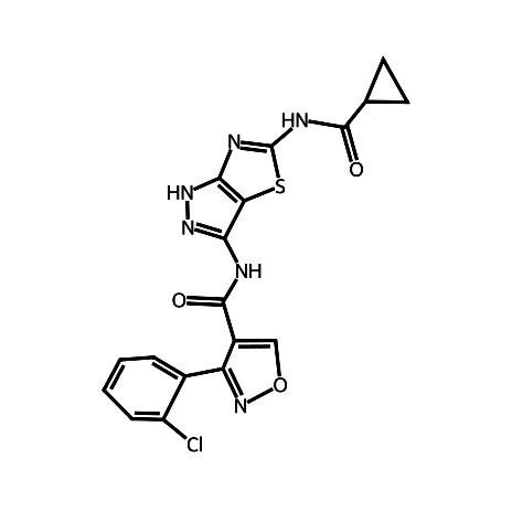 O=C(Nc1n[nH]c2nc(NC(=O)C3CC3)sc12)c1conc1-c1ccccc1Cl